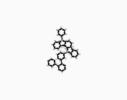 c1ccc(-c2ccccc2-c2cccc(-n3c4ccccc4c4ccc5c(c6ccccc6n5-c5ccccc5)c43)c2)cc1